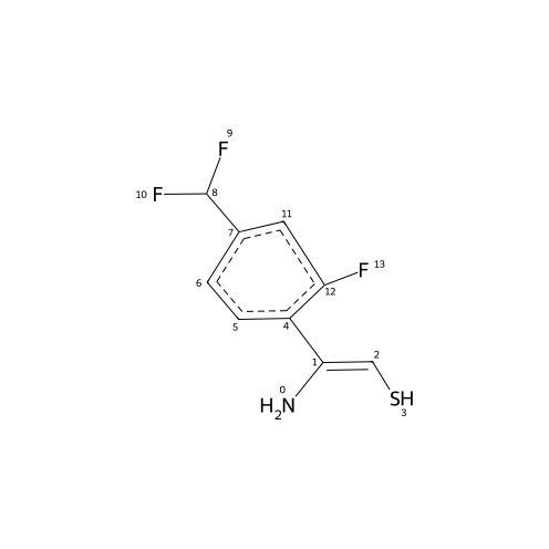 N/C(=C\S)c1ccc(C(F)F)cc1F